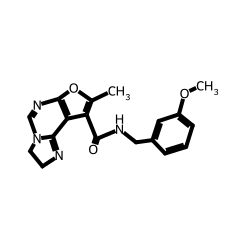 COc1cccc(CNC(=O)c2c(C)oc3c2C2=NCCN2C=N3)c1